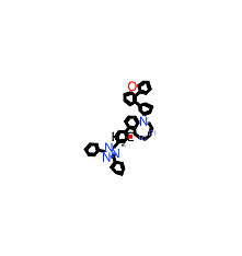 C=C1/C=C\C=C/CN(c2cccc(-c3cccc4oc5ccccc5c34)c2)c2cccc(-c3ccc(-c4nc(-c5ccccc5)nc(-c5ccccc5)n4)cc3)c21